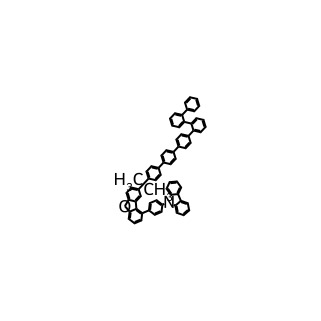 CC(C)(c1ccc(-c2ccc(-c3ccc(-c4ccccc4-c4ccccc4-c4ccccc4)cc3)cc2)cc1)c1ccc2oc3cccc(-c4ccc(-n5c6ccccc6c6ccccc65)cc4)c3c2c1